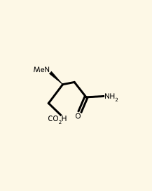 CN[C@@H](CC(N)=O)CC(=O)O